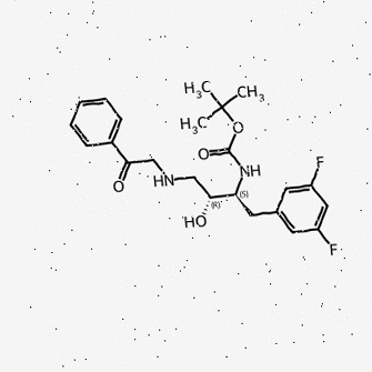 CC(C)(C)OC(=O)N[C@@H](Cc1cc(F)cc(F)c1)[C@H](O)CNCC(=O)c1ccccc1